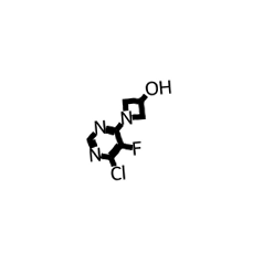 OC1CN(c2ncnc(Cl)c2F)C1